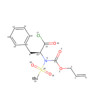 C=CCOC(=O)N([C@@H](Cc1ccccc1)C(=O)Cl)S(=O)(=O)C(C)(C)C